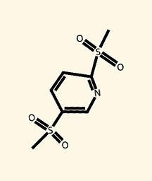 CS(=O)(=O)c1ccc(S(C)(=O)=O)nc1